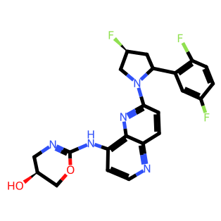 O[C@H]1CN=C(Nc2ccnc3ccc(N4C[C@@H](F)CC4c4cc(F)ccc4F)nc23)OC1